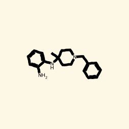 CC1(Nc2ccccc2N)CCN(Cc2ccccc2)CC1